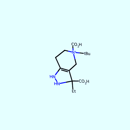 CCC1(C(=O)O)NNC2=C1C[N+](C(=O)O)(C(C)(C)C)CC2